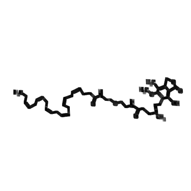 CC/C=C\C/C=C\C/C=C\C/C=C\C/C=C\C/C=C\CCC(=O)NCCOCCNC(=O)CC/C(C)=C/Cc1c(O)c2c(c(C)c1OC)COC2=O